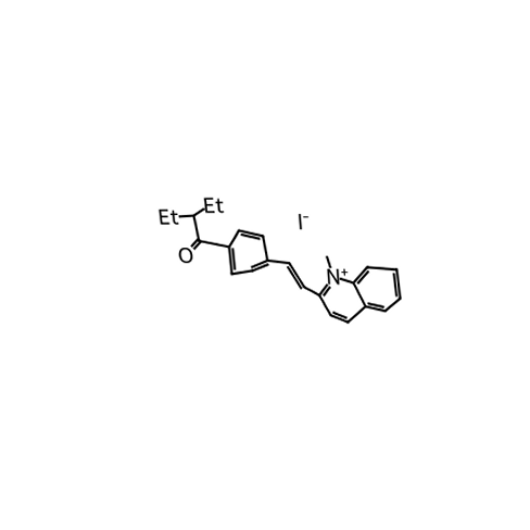 CCC(CC)C(=O)c1ccc(C=Cc2ccc3ccccc3[n+]2C)cc1.[I-]